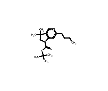 CCCCc1cc2c(cn1)C(C)(C)CN2C(=O)OC(C)(C)C